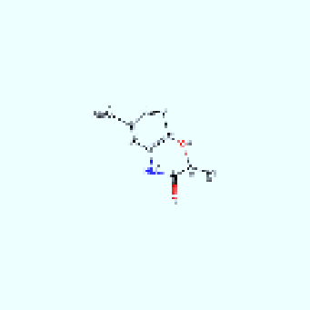 COc1ccc2c(c1)NC(=O)C(C(C)C)O2